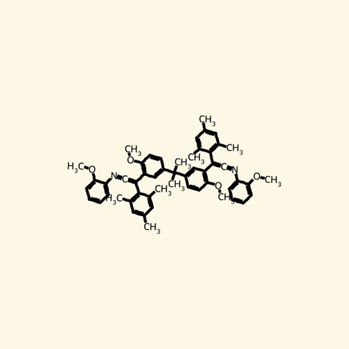 COc1ccccc1N=C=C(c1cc(C(C)(C)c2ccc(OC)c(C(=C=Nc3ccccc3OC)c3c(C)cc(C)cc3C)c2)ccc1OC)c1c(C)cc(C)cc1C